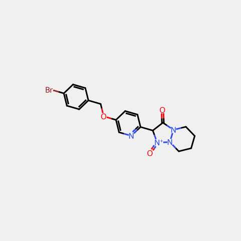 O=C1C(c2ccc(OCc3ccc(Br)cc3)cn2)[N+](=O)N2CCCCN12